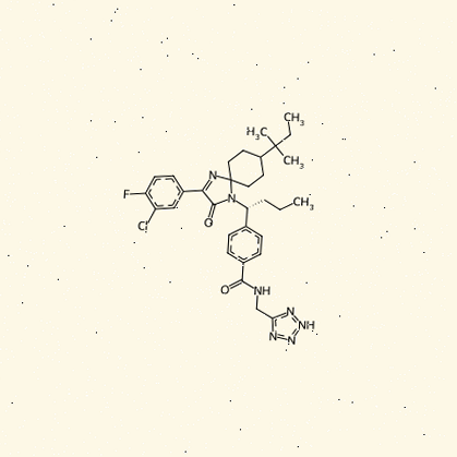 CCC[C@H](c1ccc(C(=O)NCc2nn[nH]n2)cc1)N1C(=O)C(c2ccc(F)c(Cl)c2)=NC12CCC(C(C)(C)CC)CC2